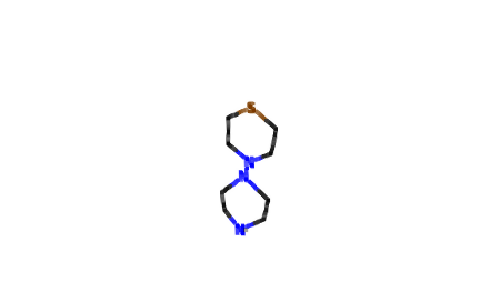 C1CN(N2CCSCC2)CC[N]1